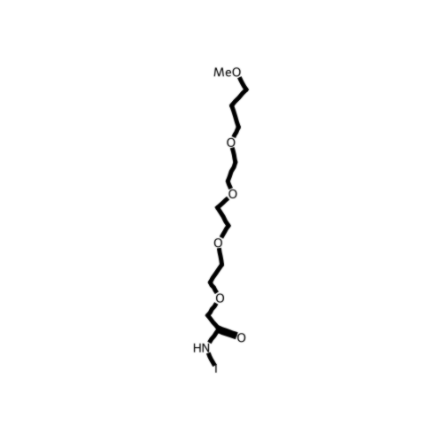 COCCCOCCOCCOCCOCC(=O)NI